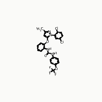 Cc1cc(Oc2ccccc2NC(=O)Nc2ccc(OC(F)(F)F)cc2)n(-c2cc(Cl)ccc2Cl)n1